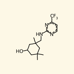 CC1(C)CC(O)CC(C)(CNc2nccc(C(F)(F)F)n2)C1